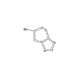 CCC(C)c1ccc2nsnc2c1